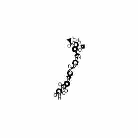 CC1CCc2c(ccc(-c3cnn(C4CCN(CC(=O)N5CCC6(CC5)CN(c5ccc7c(c5)C(=O)N(C5CCC(=O)NC5=O)C7=O)C6)CC4)c3)c2OC2CCC2)N1C(=O)C1CC1